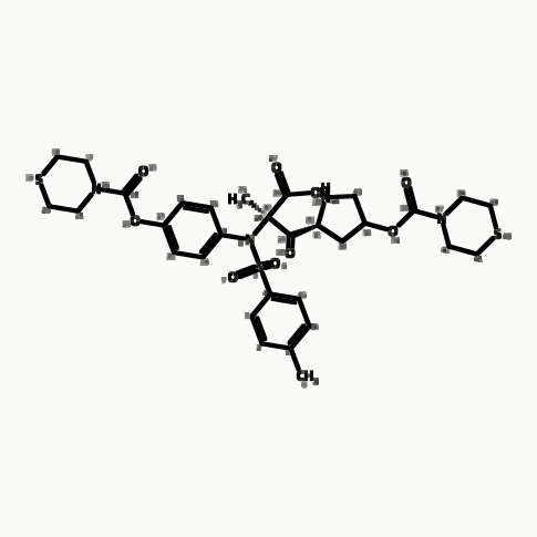 Cc1ccc(S(=O)(=O)N(c2ccc(OC(=O)N3CCSCC3)cc2)[C@@](C)(C(=O)O)C(=O)[C@@H]2CC(OC(=O)N3CCSCC3)CN2)cc1